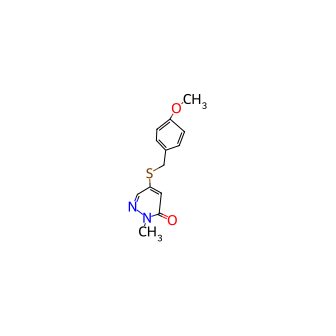 COc1ccc(CSc2cnn(C)c(=O)c2)cc1